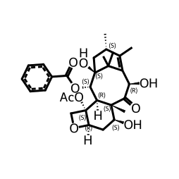 CC(=O)O[C@@]12CO[C@@H]1C[C@H](O)[C@@]1(C)C(=O)[C@H](O)C3=C(C)[C@@H](C)C[C@@](O)([C@@H](OC(=O)c4ccccc4)[C@H]21)C3(C)C